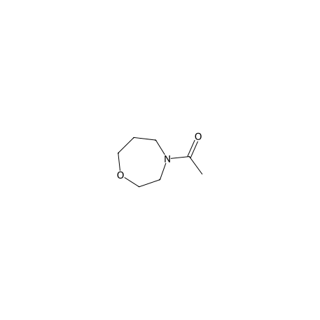 CC(=O)N1CCCOCC1